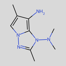 Cc1cn2nc(C)n(N(C)C)c2c1N